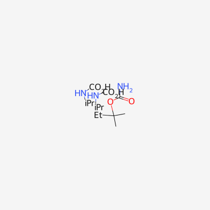 CC(C)NC(=O)O.CC(C)NC(=O)O.CCC(C)(C)OC(N)=O